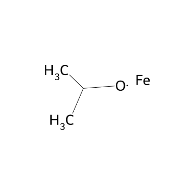 CC(C)[O].[Fe]